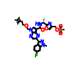 C[C@@H](NC(=O)c1cn(COCC[Si](C)(C)C)c2ncc(-c3nn(C)c4cc(F)ccc34)nc12)c1nc(COS(C)(=O)=O)co1